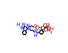 COCCc1nc2c(N)nc3ccccc3c2n1CCCNCc1cccc(OC(C)(C)C(=O)O)c1